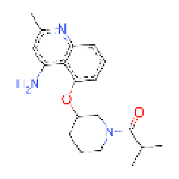 Cc1cc(N)c2c(OC3CCCN(C(=O)C(C)C)C3)cccc2n1